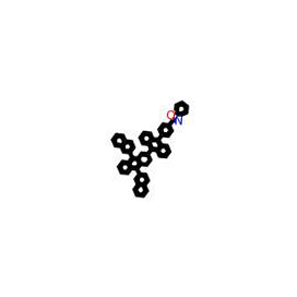 C1=C(c2c3ccccc3c(-c3ccc(-c4nc5ccccc5o4)cc3)c3ccccc23)CCc2c1c(-c1ccc3ccccc3c1)c1ccccc1c2-c1ccc2ccccc2c1